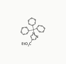 CCOC(=O)c1cnn(C(c2ccccc2)(c2ccccc2)c2ccccc2)c1